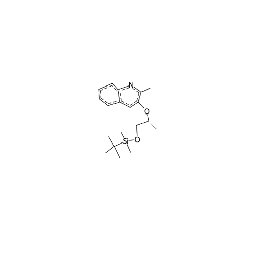 Cc1nc2ccccc2cc1O[C@H](C)CO[Si](C)(C)C(C)(C)C